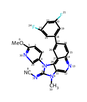 COc1ccc(-n2/c(=N\C#N)n(C)c3cnc4ccc(-c5cc(F)cc(F)c5)cc4c32)cn1